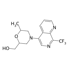 CC1CN(c2cnc(C(F)(F)F)c3ncccc23)CC(CO)O1